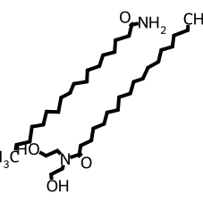 CCCCCCCCCCCCCCCCCC(=O)N(CCO)CCO.CCCCCCCCCCCCCCCCCC(N)=O